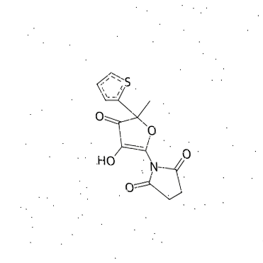 CC1(c2cccs2)OC(N2C(=O)CCC2=O)=C(O)C1=O